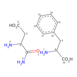 NC(=O)C(N)CC(=O)O.NC(Cc1ccccc1)C(=O)O